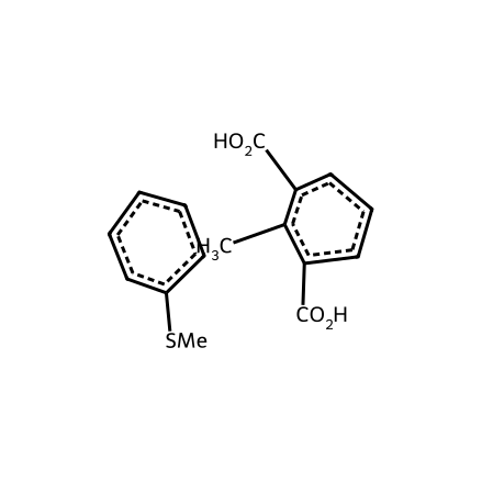 CSc1ccccc1.Cc1c(C(=O)O)cccc1C(=O)O